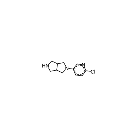 Clc1ccc(N2CC3CNCC3C2)cn1